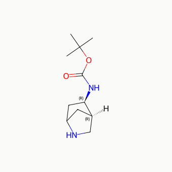 CC(C)(C)OC(=O)N[C@@H]1CC2C[C@@H]1CN2